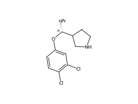 CCC[C@@H](Oc1ccc(Cl)c(Cl)c1)C1CCNC1